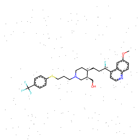 COc1ccc2nccc([C@H](F)CC[C@@H]3CCN(CCCSc4ccc(C(F)(F)F)cc4)C[C@@H]3CO)c2c1